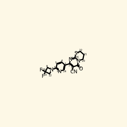 N#Cc1c(-c2ccc(N3CC(F)(F)C3)nc2)nc2n(c1=O)CCCS2